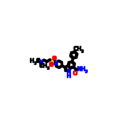 Cc1ccc(-c2cc(C(N)=O)c3[nH]cc(C4CCN(S(=O)(=O)CCCN(C)C)CC4)c3c2)cc1